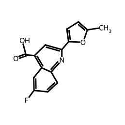 Cc1ccc(-c2cc(C(=O)O)c3cc(F)ccc3n2)o1